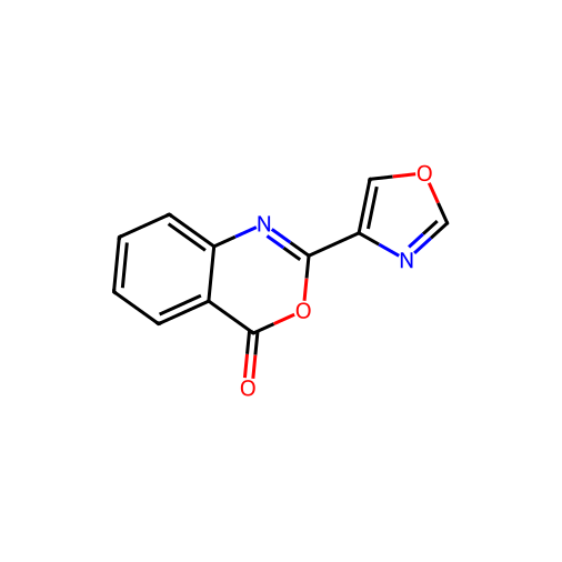 O=c1oc(-c2cocn2)nc2ccccc12